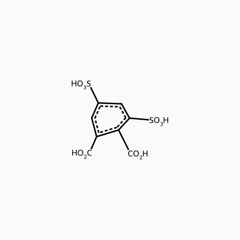 O=C(O)c1cc(S(=O)(=O)O)cc(S(=O)(=O)O)c1C(=O)O